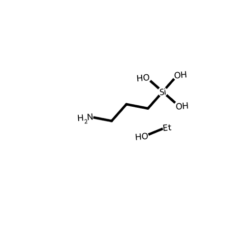 CCO.NCCC[Si](O)(O)O